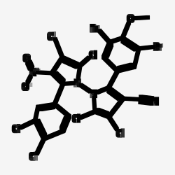 COc1c(Br)cc(-c2c(C#N)c(Cl)c(Cl)n2-n2c(Cl)c(Cl)c([N+](=O)[O-])c2-c2ccc(Cl)c(Cl)c2)cc1Br